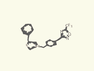 FC(F)(F)c1nc(-c2ccc(Cn3cnc(-c4ccccc4)c3)cc2)no1